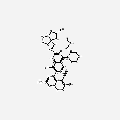 C#Cc1c(F)ccc2cc(O)cc(-c3ncc4c(N5CCOC[C@H]5COC)nc(OC[C@@]56CCCN5C[C@H](F)C6)nc4c3F)c12